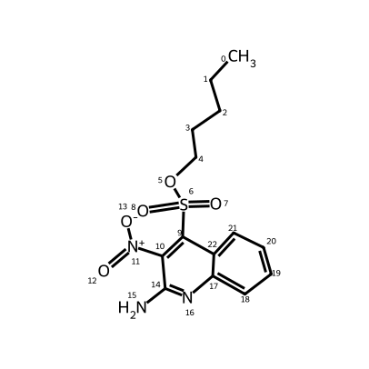 CCCCCOS(=O)(=O)c1c([N+](=O)[O-])c(N)nc2ccccc12